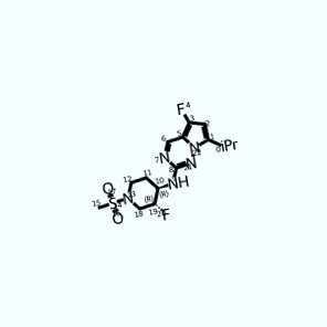 CC(C)c1cc(F)c2cnc(N[C@@H]3CCN(S(C)(=O)=O)C[C@H]3F)nn12